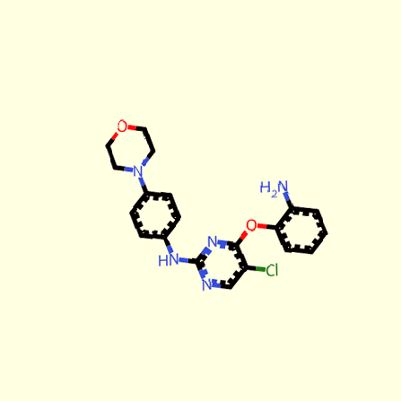 Nc1ccccc1Oc1nc(Nc2ccc(N3CCOCC3)cc2)ncc1Cl